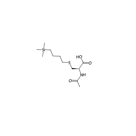 CC(=O)N[C@@H](CSCCCC[Si](C)(C)C)C(=O)O